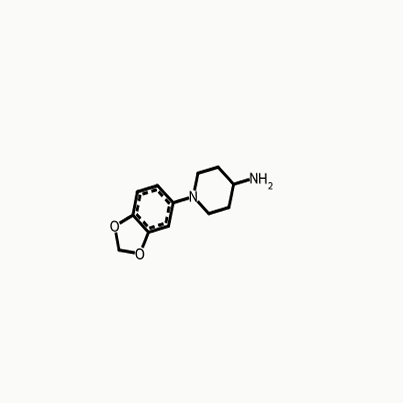 NC1CCN(c2ccc3c(c2)OCO3)CC1